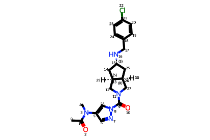 CC(=O)N(C)c1cnn(C(=O)N2C[C@H]3C[C@H](NCc4ccc(Cl)cc4)C[C@H]3C2)c1